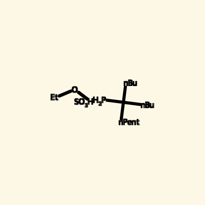 CCCCCC(P)(CCCC)CCCC.CCOS(=O)(=O)O